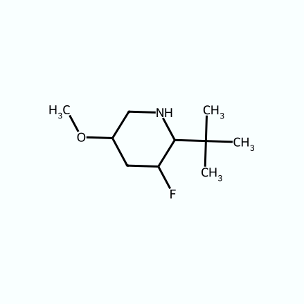 COC1CNC(C(C)(C)C)C(F)C1